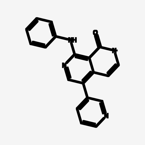 O=C1[N]C=Cc2c(-c3cccnc3)cnc(Nc3ccccc3)c21